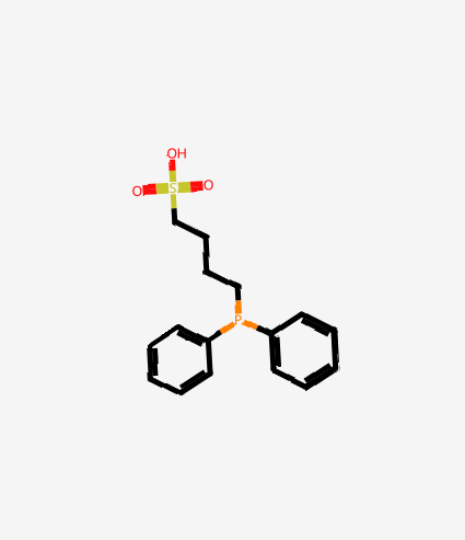 O=S(=O)(O)CCCCP(c1ccccc1)c1ccccc1